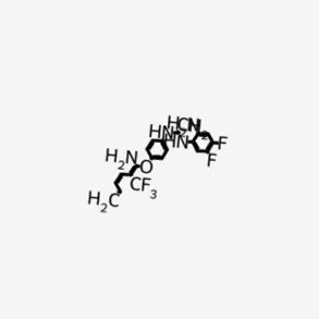 C=C/C=C\C(=C(/N)Oc1ccc(NC(=C)Nc2cc(F)c(F)cc2N)cc1)C(F)(F)F